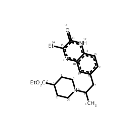 CCOC(=O)C1CCN(C(C)Cc2ccc3[nH]c(=O)c(CC)nc3c2)CC1